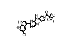 CC1(C(=O)N2CC[C@H](Nc3nc(C4=CNC5NC=C(Cl)C=C45)ncc3F)C2)COC1